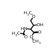 COCC(O)C(NC(C)=O)C(=O)OC